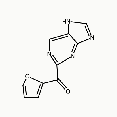 O=C(c1ncc2[nH]cnc2n1)c1ccco1